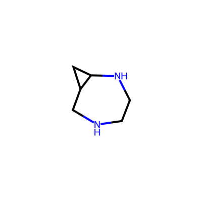 C1CNC2CC2CN1